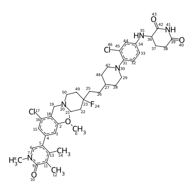 COc1cc(-c2cn(C)c(=O)c(C)c2C)cc(Cl)c1CN1CCC(F)(CCC2CCN(c3ccc(NC4CCC(=O)NC4=O)cc3Cl)CC2)CC1